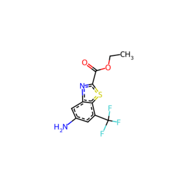 CCOC(=O)c1nc2cc(N)cc(C(F)(F)F)c2s1